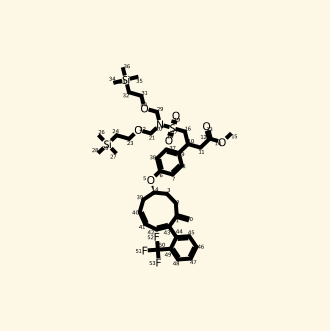 C=C1CC[C@@H](Oc2ccc(C(CC(=O)OC)CS(=O)(=O)N(COCC[Si](C)(C)C)COCC[Si](C)(C)C)cc2)C/C=C\C=C/1c1ccccc1C(F)(F)F